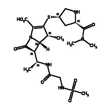 C[C@@H](NC(=O)CNS(C)(=O)=O)[C@H]1C(=O)N2C(C(=O)O)=C(S[C@@H]3CN[C@H](C(=O)N(C)C)C3)[C@H](C)[C@H]12